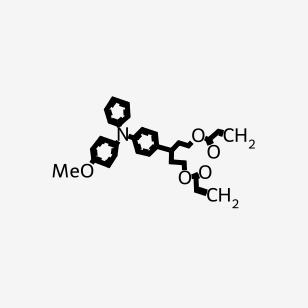 C=CC(=O)OCCC(CCOC(=O)C=C)c1ccc(N(c2ccccc2)c2ccc(OC)cc2)cc1